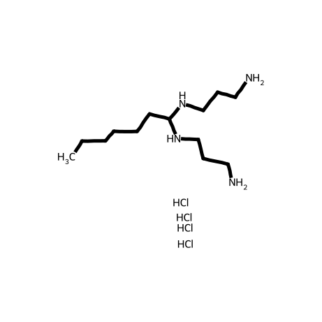 CCCCCCC(NCCCN)NCCCN.Cl.Cl.Cl.Cl